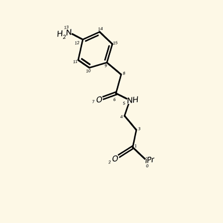 CC(C)C(=O)CCNC(=O)Cc1ccc(N)cc1